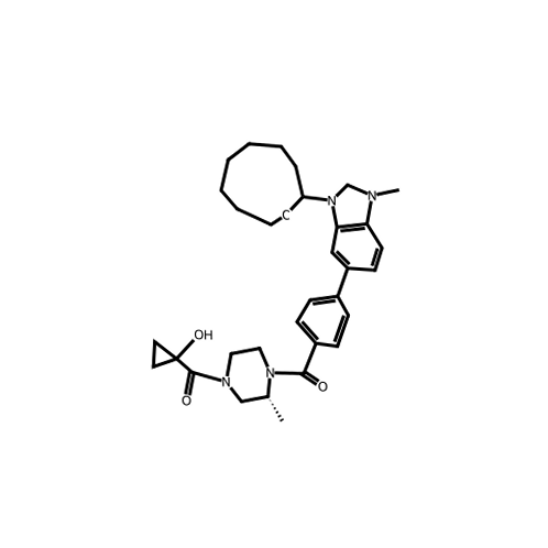 C[C@@H]1CN(C(=O)C2(O)CC2)CCN1C(=O)c1ccc(-c2ccc3c(c2)N(C2CCCCCCCC2)CN3C)cc1